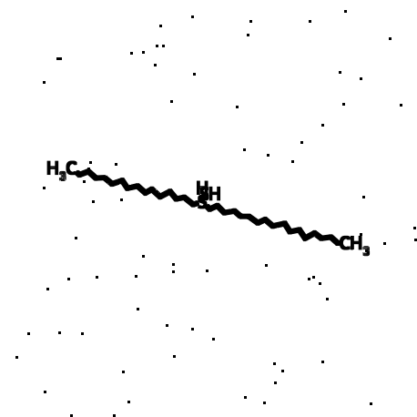 CCCCCCCCCCCCCCCCCC[SH](S)CCCCCCCCCCCCCCCC